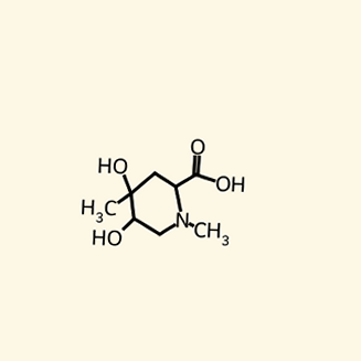 CN1CC(O)C(C)(O)CC1C(=O)O